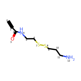 C#CC(=O)NCCSSCCCN